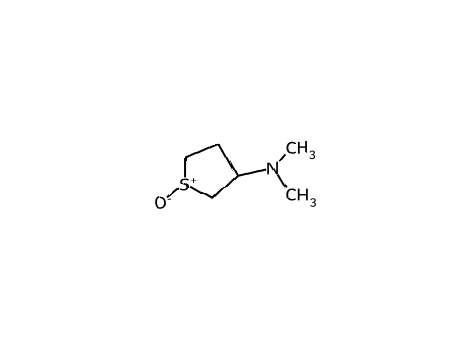 CN(C)C1CC[S+]([O-])C1